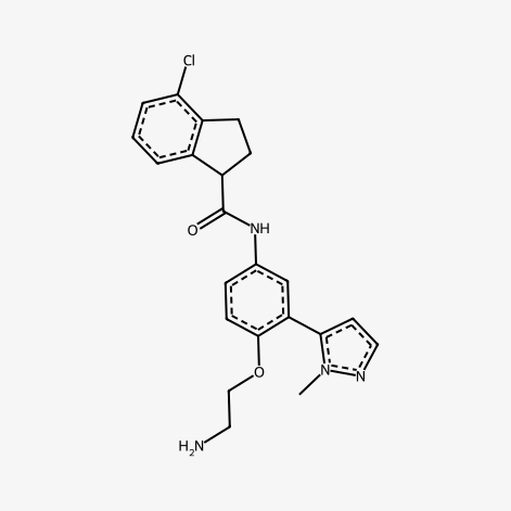 Cn1nccc1-c1cc(NC(=O)C2CCc3c(Cl)cccc32)ccc1OCCN